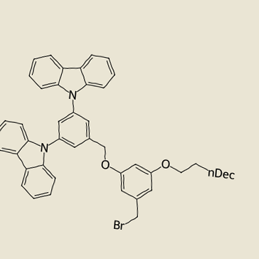 CCCCCCCCCCCCOc1cc(CBr)cc(OCc2cc(-n3c4ccccc4c4ccccc43)cc(-n3c4ccccc4c4ccccc43)c2)c1